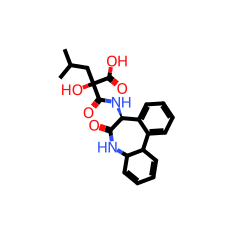 CC(C)CC(O)(C(=O)O)C(=O)N[C@@H]1C(=O)NC2C=CC=CC2c2ccccc21